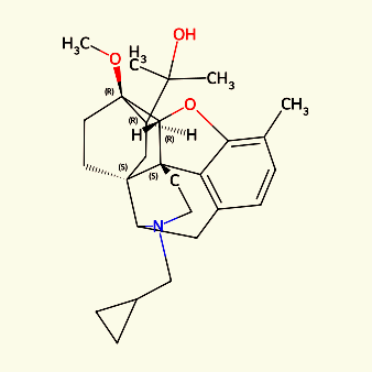 CO[C@]12CC[C@@]3(C[C@@H]1C(C)(C)O)C1Cc4ccc(C)c5c4[C@@]3(CCN1CC1CC1)[C@H]2O5